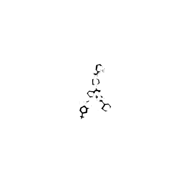 Cc1cc(C(F)(F)F)ccc1NC(=O)[C@@H]1CCc2c(N3CCN(C(=O)C4(O)C=CC=NN4)CC3)c(=O)n3nc(C4=CCOCC4)nc3n21